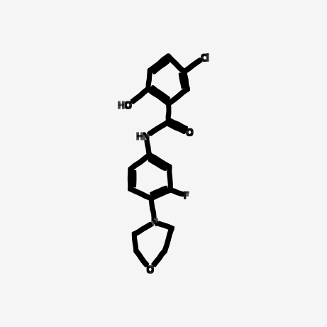 O=C(Nc1ccc(N2CCOCC2)c(F)c1)c1cc(Cl)ccc1O